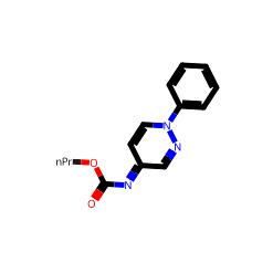 CCCOC(=O)N=c1ccn(-c2ccccc2)nc1